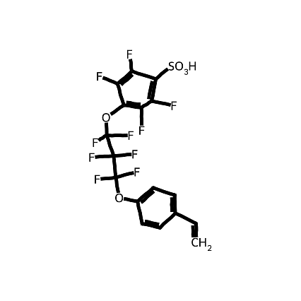 C=Cc1ccc(OC(F)(F)C(F)(F)C(F)(F)Oc2c(F)c(F)c(S(=O)(=O)O)c(F)c2F)cc1